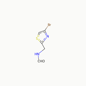 O=CNCc1nc(Br)cs1